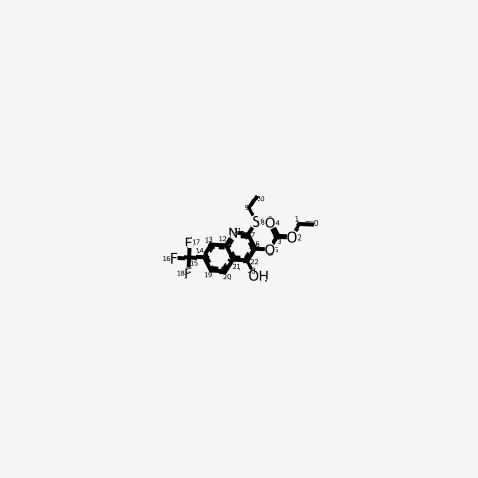 CCOC(=O)Oc1c(SCC)nc2cc(C(F)(F)F)ccc2c1O